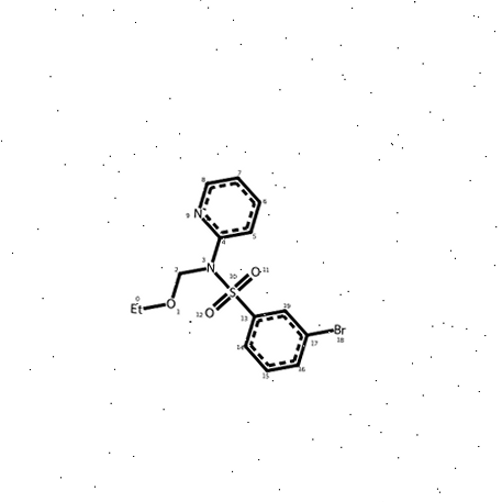 CCOCN(c1ccccn1)S(=O)(=O)c1cccc(Br)c1